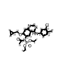 CCOP(=O)(OCC)N(C(C)=O)c1cc2c(Nc3ccc(F)c(Cl)c3)ncnc2cc1OCC1CC1